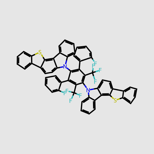 Fc1ccccc1-c1c(-n2c3ccccc3c3c4sc5ccccc5c4ccc32)c(-c2ccccc2F)c(C(F)(F)F)c(-n2c3ccccc3c3c4sc5ccccc5c4ccc32)c1C(F)(F)F